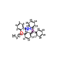 COc1ccccc1Nc1ccccc1P(c1ccccc1)c1ccccc1